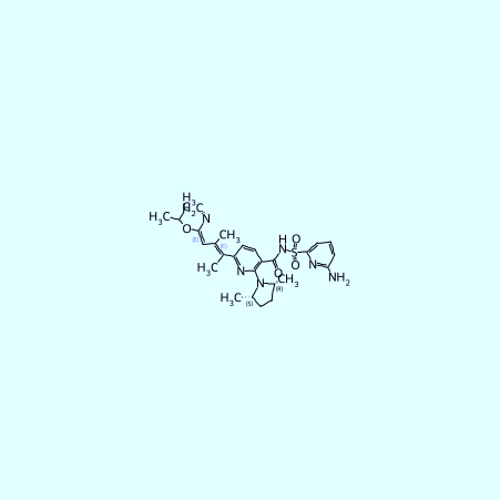 C=N/C(=C\C(C)=C(/C)c1ccc(C(=O)NS(=O)(=O)c2cccc(N)n2)c(N2[C@H](C)CC[C@@H]2C)n1)OC(C)C